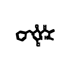 C=C(NC)Nc1nc(Cl)cn(Cc2ccccc2)c1=O